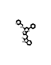 O=C1NC2C=CC=CC2/C1=C/c1cnn2c(NCc3cccnc3)cc(-c3ccccc3)nc12